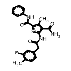 Cc1ccc(CC(=O)Nc2sc(C(=O)Nc3ccccc3)c(C)c2C(N)=O)cc1F